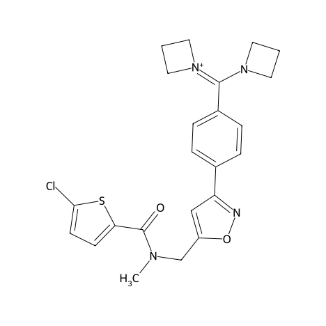 CN(Cc1cc(-c2ccc(C(N3CCC3)=[N+]3CCC3)cc2)no1)C(=O)c1ccc(Cl)s1